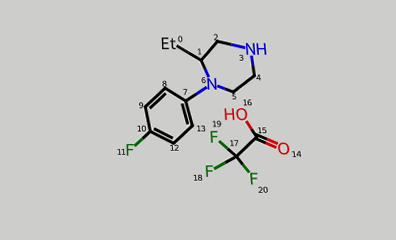 CCC1CNCCN1c1ccc(F)cc1.O=C(O)C(F)(F)F